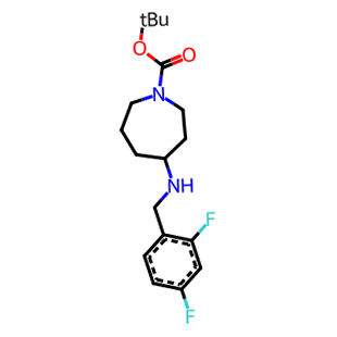 CC(C)(C)OC(=O)N1CCCC(NCc2ccc(F)cc2F)CC1